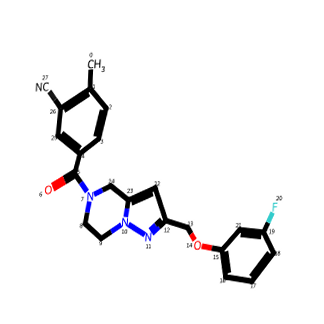 Cc1ccc(C(=O)N2CCn3nc(COc4cccc(F)c4)cc3C2)cc1C#N